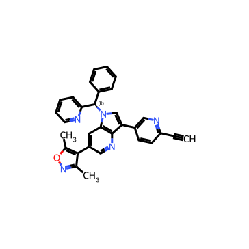 C#Cc1ccc(-c2cn([C@H](c3ccccc3)c3ccccn3)c3cc(-c4c(C)noc4C)cnc23)cn1